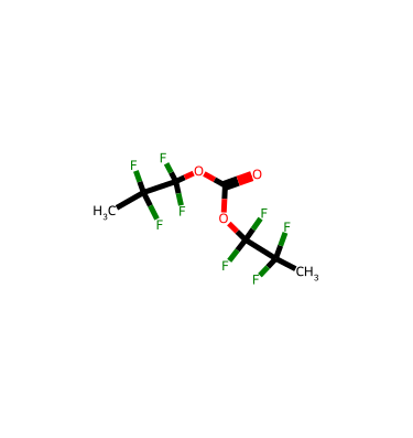 CC(F)(F)C(F)(F)OC(=O)OC(F)(F)C(C)(F)F